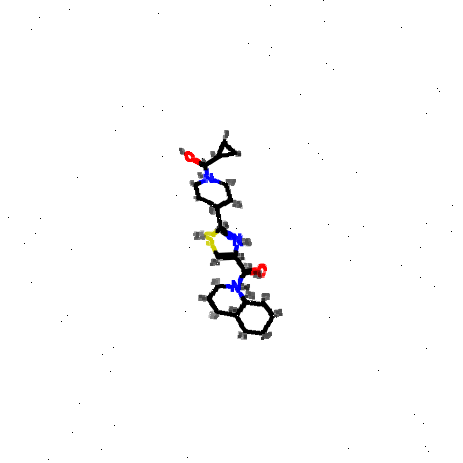 O=C(C1CC1)N1CCC(c2nc(C(=O)N3CCCC4CCCCC43)cs2)CC1